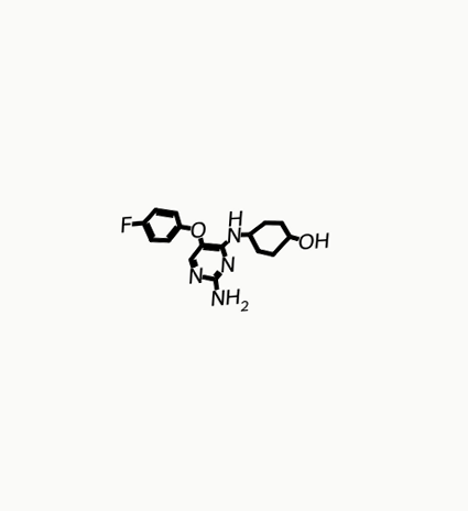 Nc1ncc(Oc2ccc(F)cc2)c(NC2CCC(O)CC2)n1